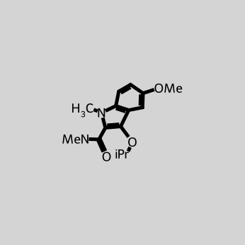 CNC(=O)c1c(OC(C)C)c2cc(OC)ccc2n1C